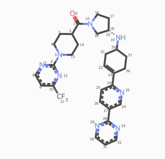 O=C(C1CCN(c2nccc(C(F)(F)F)n2)CC1)N1CC[C@H](NC2CC=C(c3ccc(-c4ncccn4)cn3)CC2)C1